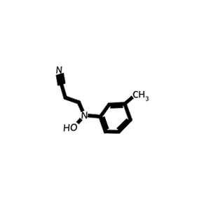 Cc1cccc(N(O)CCC#N)c1